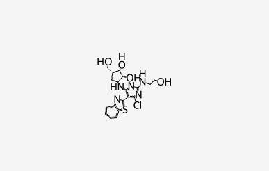 OCCNc1nc(Cl)c(-c2nc3ccccc3s2)c(N[C@@H]2C[C@H](CO)[C@@H](O)[C@H]2O)n1